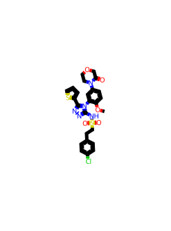 COc1ccc(N2CCOCC2=O)cc1-n1c(NS(=O)(=O)CCc2ccc(Cl)cc2)nnc1-c1cccs1